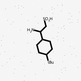 CC(C)(C)C1CCC(C(N)CS(=O)(=O)O)CC1